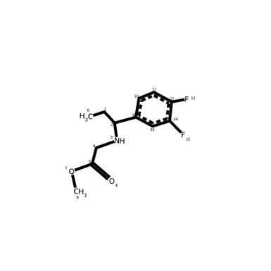 CCC(NCC(=O)OC)c1ccc(F)c(F)c1